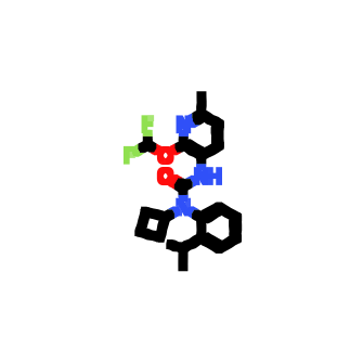 Cc1ccc(NC(=O)N(c2ccccc2C(C)C)C2CCC2)c(OC(F)F)n1